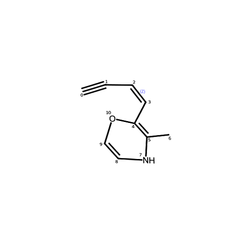 C#C/C=C\C1=C(C)NC=CO1